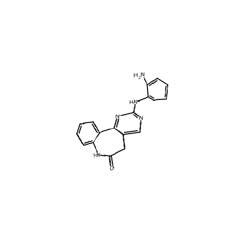 Nc1ccccc1Nc1ncc2c(n1)-c1ccccc1NC(=O)C2